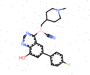 CN1CCC(CB(C#N)c2ncnc3c(O)cc(-c4ccc(F)cc4)cc23)CC1